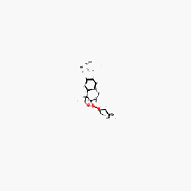 CCCCC1(C)C2Cc3ccc(OP(=O)(O)OC)cc3C1(C)CCN2CC=C(C)C